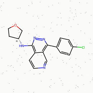 Clc1ccc(-c2nnc(N[C@@H]3CCOC3)c3ccncc23)cc1